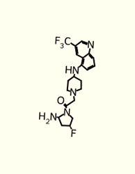 N[C@@H]1C[C@H](F)CN1C(=O)CN1CCC(Nc2cccc3ncc(C(F)(F)F)cc23)CC1